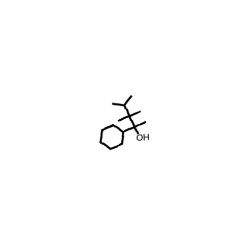 CC(C)C(C)(C)C(C)(O)C1CCCCC1